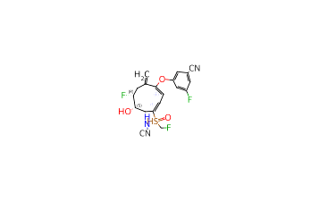 C=C1C[C@@H](F)[C@@H](O)C/C([SH](=O)(CF)NC#N)=C\C=C/1Oc1cc(F)cc(C#N)c1